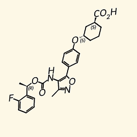 Cc1noc(-c2ccc(O[C@H]3CCC[C@H](C(=O)O)C3)cc2)c1NC(=O)O[C@H](C)c1ccccc1F